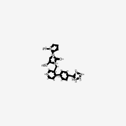 CCCCc1cn(-c2cccn2C(C)C)c(=O)n1Cc1cnccc1-c1ccc(-c2nnn[nH]2)cc1